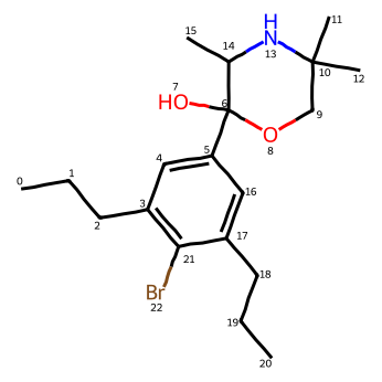 CCCc1cc(C2(O)OCC(C)(C)NC2C)cc(CCC)c1Br